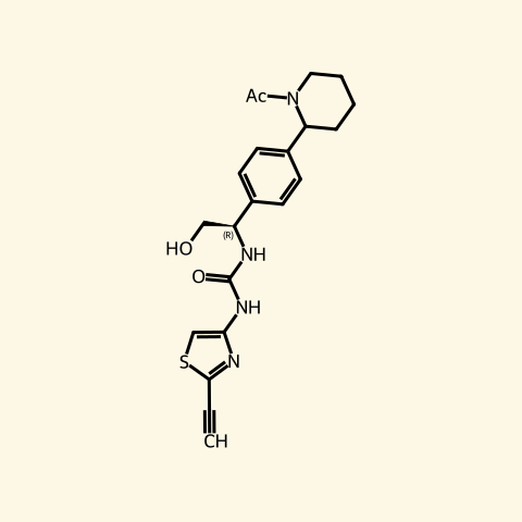 C#Cc1nc(NC(=O)N[C@@H](CO)c2ccc(C3CCCCN3C(C)=O)cc2)cs1